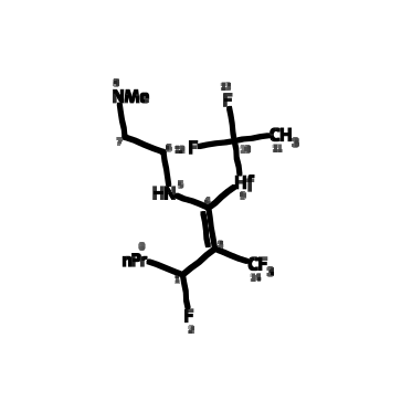 CCCC(F)/C(=[C](\NCCNC)[Hf][C](C)(F)F)C(F)(F)F